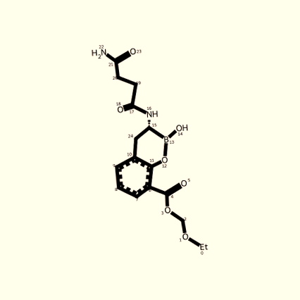 CCOCOC(=O)c1cccc2c1OB(O)[C@@H](NC(=O)CCC(N)=O)C2